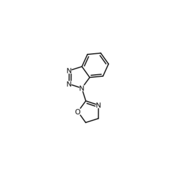 c1ccc2c(c1)nnn2C1=NCCO1